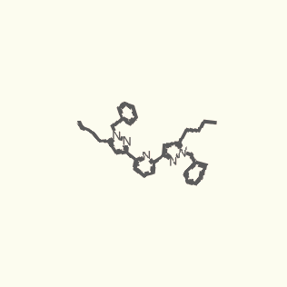 CCCCc1cc(-c2cccc(-c3cc(CCCC)n(Cc4ccccc4)n3)n2)nn1Cc1ccccc1